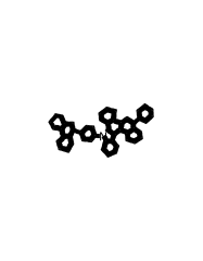 C1=c2cc(-c3ccc(-n4c5ccccc5c5c6c7ccccc7c(-c7ccccc7)cc6c6ccccc6c54)cc3)c3ccccc3c2=CCC1